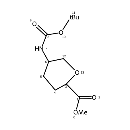 COC(=O)C1CCC(NC(=O)OC(C)(C)C)CO1